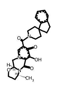 C[C@@H]1CCO[C@H]2Cn3cc(C(=O)N4CCC5(CCc6ccccc65)CC4)c(=O)c(O)c3C(=O)N12